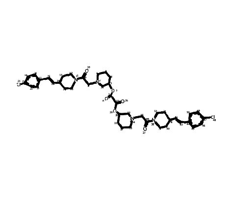 O=C(OC1CCCN(CC(=O)N2CCC(C=Cc3ccc(Cl)cc3)CC2)C1)C(=O)OC1CCCN(CC(=O)N2CCC(C=Cc3ccc(Cl)cc3)CC2)C1